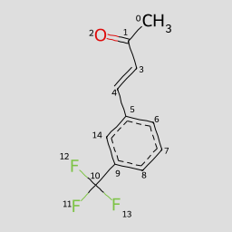 CC(=O)C=Cc1cccc(C(F)(F)F)c1